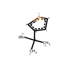 CC(C)(C)C(C)(C)c1ccsc1